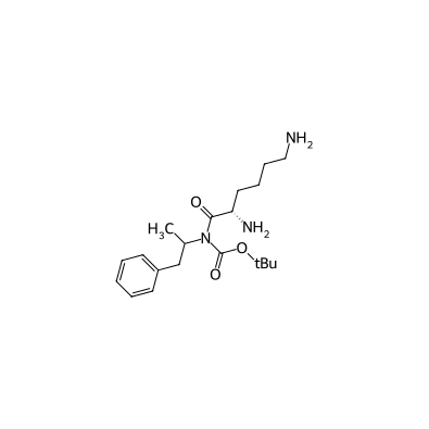 CC(Cc1ccccc1)N(C(=O)OC(C)(C)C)C(=O)[C@@H](N)CCCCN